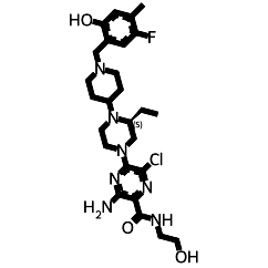 CC[C@H]1CN(c2nc(N)c(C(=O)NCCO)nc2Cl)CCN1C1CCN(Cc2cc(F)c(C)cc2O)CC1